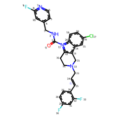 O=C(NCc1ccnc(F)c1)n1c2c(c3cc(Cl)ccc31)CN(C/C=C/c1ccc(F)cc1F)CC2